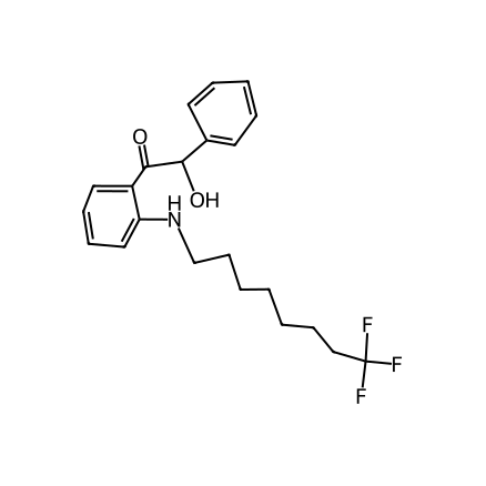 O=C(c1ccccc1NCCCCCCCC(F)(F)F)C(O)c1ccccc1